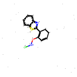 ClNOC1=C(c2nc3ccccc3s2)CCC=C1